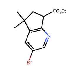 CCOC(=O)C1CC(C)(C)c2cc(Br)cnc21